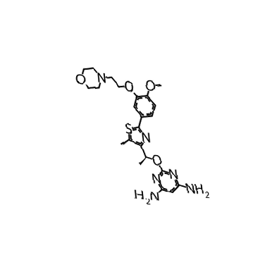 COc1ccc(-c2nc([C@H](C)Oc3nc(N)cc(N)n3)c(C)s2)cc1OCCN1CCOCC1